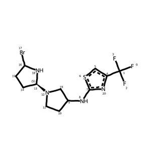 FC(F)(F)c1csc(NC2CCN([C@H]3CCC(Br)N3)C2)n1